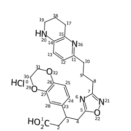 Cl.O=C(O)CC(Cc1nc(CCCc2ccc3c(n2)CCCN3)no1)c1ccc2c(c1)OCCO2